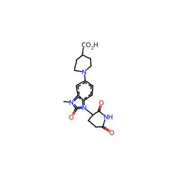 Cn1c(=O)n(C2CCC(=O)NC2=O)c2ccc(N3CCC(C(=O)O)CC3)cc21